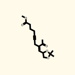 COC(=O)CCCC#CCC(=CC1COC(C)(C)O1)C(C)=O